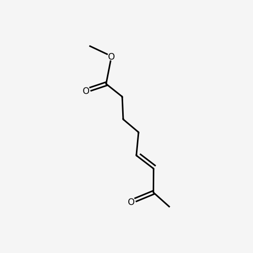 COC(=O)CCCC=CC(C)=O